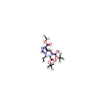 CCCn1cnc(C(=O)OCC)c1CN(CC(=O)OC(C)(C)C)C(=O)OC(C)(C)C